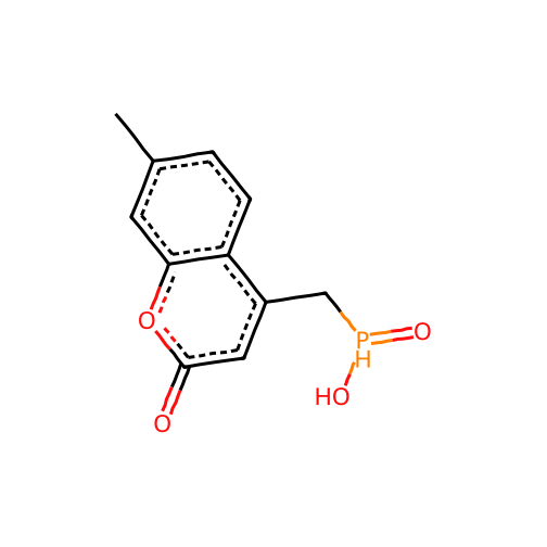 Cc1ccc2c(C[PH](=O)O)cc(=O)oc2c1